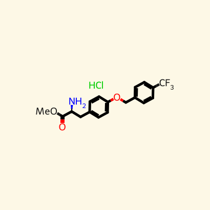 COC(=O)[C@@H](N)Cc1ccc(OCc2ccc(C(F)(F)F)cc2)cc1.Cl